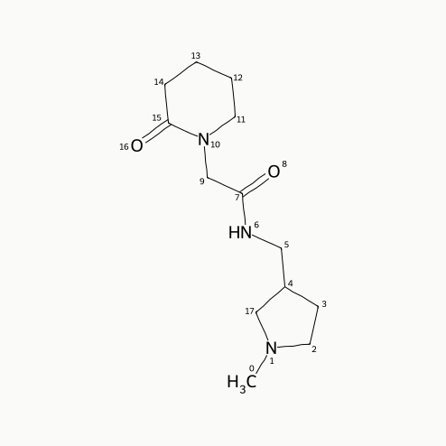 CN1CCC(CNC(=O)CN2CCCCC2=O)C1